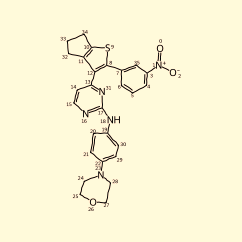 O=[N+]([O-])c1cccc(-c2sc3c(c2-c2ccnc(Nc4ccc(N5CCOCC5)cc4)n2)CCC3)c1